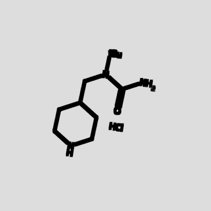 CC(C)(C)N(CC1CCNCC1)C(N)=O.Cl